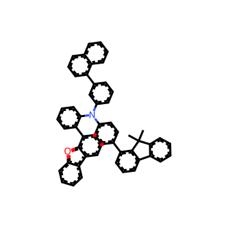 CC1(C)c2ccccc2-c2cccc(-c3ccc(N(c4cccc(-c5cccc6ccccc56)c4)c4ccccc4-c4cccc5c4oc4ccccc45)cc3)c21